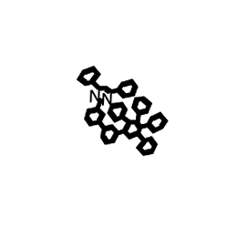 c1ccc(-c2cc(-c3ccccc3)nc(-c3cccc(-c4cccc(-c5cc(-c6ccccc6)c(-c6ccccc6)c(-c6ccccc6)c5-c5ccccc5)c4)c3)n2)cc1